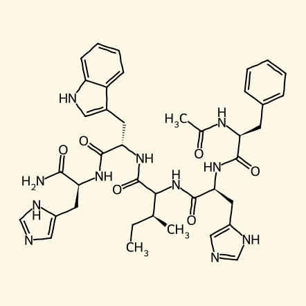 CC[C@H](C)C(NC(=O)[C@H](Cc1cnc[nH]1)NC(=O)[C@H](Cc1ccccc1)NC(C)=O)C(=O)N[C@@H](Cc1c[nH]c2ccccc12)C(=O)N[C@@H](Cc1cnc[nH]1)C(N)=O